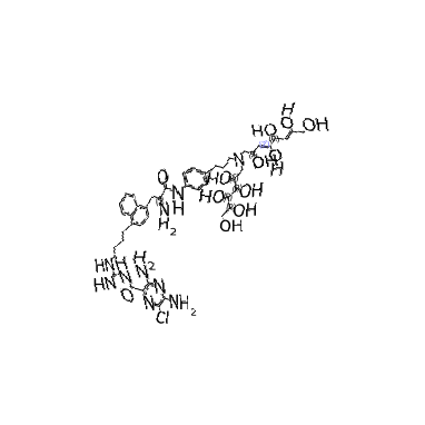 N=C(NCCCCc1ccc(C[C@H](N)C(=O)Nc2ccc(CCCN(C[C@H](O)/C=C(\O)[C@H](O)C=C(O)CO)C[C@H](O)[C@@H](O)[C@H](O)[C@H](O)CO)cc2)c2ccccc12)NC(=O)c1nc(Cl)c(N)nc1N